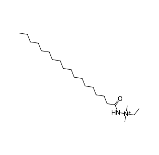 CCCCCCCCCCCCCCCCCC(=O)N[N+](C)(C)CC